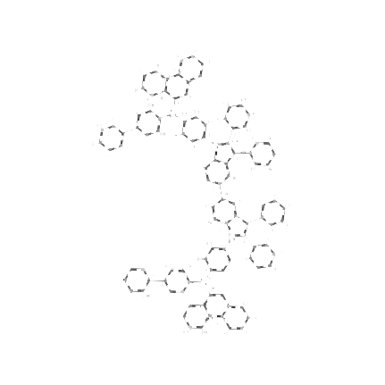 c1ccc(-c2ccc(N(c3ccc(-n4c(-c5ccccc5)c(-c5ccccc5)c5cc(-c6ccc7c(c6)c(-c6ccccc6)c(-c6ccccc6)n7-c6ccc(N(c7ccc(-c8ccccc8)cc7)c7cc8ccccc8c8ccccc78)cc6)ccc54)cc3)c3cc4ccccc4c4ccccc34)cc2)cc1